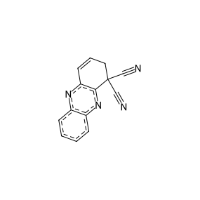 N#CC1(C#N)CC=Cc2nc3ccccc3nc21